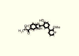 COc1ncccc1-c1ccc(O)c(-c2nc3ccc(C(=O)N(C)C)cc3[nH]2)c1